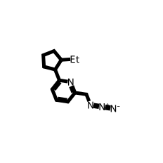 CCC1CCCC1c1cccc(CN=[N+]=[N-])n1